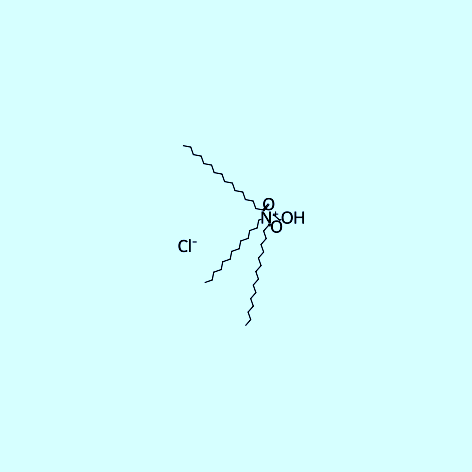 CCCCCCCCCCCCCCCC(=O)[N+](CCO)(CCCCCCCCCCCCC)C(=O)CCCCCCCCCCCCCCC.[Cl-]